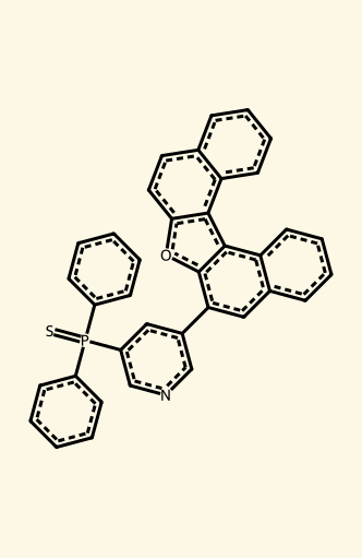 S=P(c1ccccc1)(c1ccccc1)c1cncc(-c2cc3ccccc3c3c2oc2ccc4ccccc4c23)c1